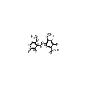 COc1cc(F)c([N+](=O)[O-])cc1OCc1c(OC)ccc(F)c1F